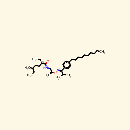 C=C(CNC(=O)[C@H](CC)CCC(C)CC)O/N=C(/c1ccc(CCCCCCCCCC)cc1)C(C)C